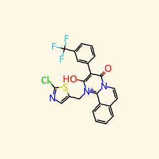 O=c1c(-c2cccc(C(F)(F)F)c2)c(O)[n+](Cc2cnc(Cl)s2)c2c3ccccc3ccn12